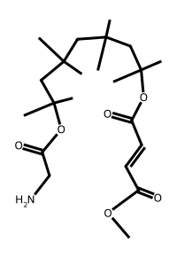 COC(=O)/C=C/C(=O)OC(C)(C)CC(C)(C)CC(C)(C)CC(C)(C)OC(=O)CN